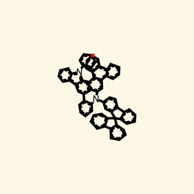 c1ccc(-n2c3ccccc3c3cc(-c4ccccc4N(c4ccc5c(c4)C4(c6ccccc6-c6ccccc64)c4ccccc4-5)c4ccc5c6ccccc6c6ccccc6c5c4)ccc32)cc1